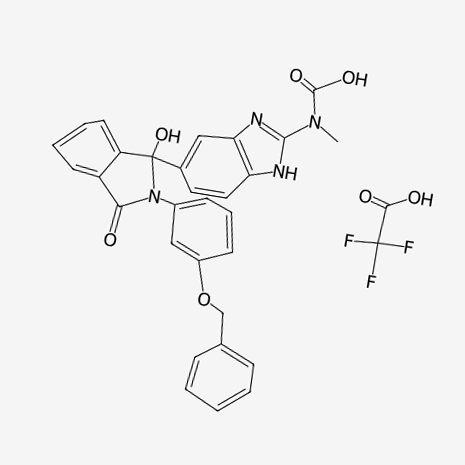 CN(C(=O)O)c1nc2cc(C3(O)c4ccccc4C(=O)N3c3cccc(OCc4ccccc4)c3)ccc2[nH]1.O=C(O)C(F)(F)F